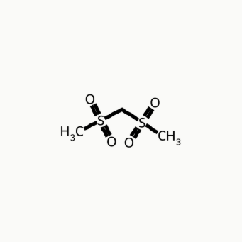 CS(=O)(=O)CS(C)(=O)=O